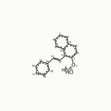 CCCOc1ccc2ccccc2c1C=Cc1ccncc1.Cl